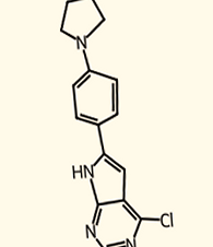 Clc1ncnc2[nH]c(-c3ccc(N4CCCC4)cc3)cc12